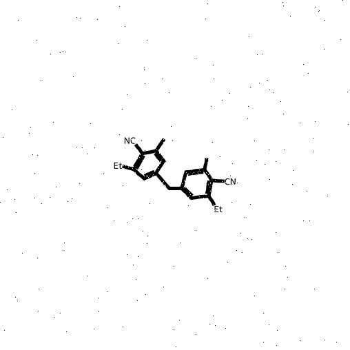 CCc1cc(Cc2cc(C)c(C#N)c(CC)c2)cc(C)c1C#N